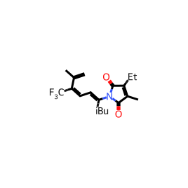 C=C(C)/C(=C\C=C(/C(C)CC)N1C(=O)C(C)=C(CC)C1=O)C(F)(F)F